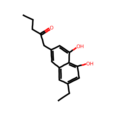 CCCC(=O)Cc1cc(O)c2c(O)cc(CC)cc2c1